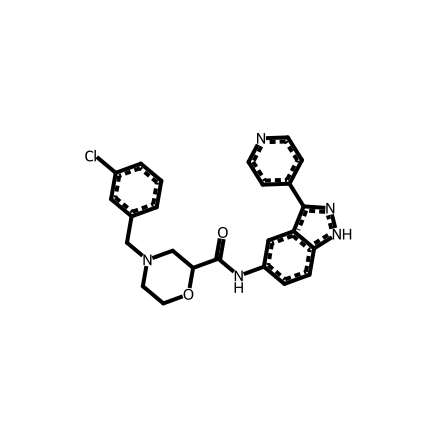 O=C(Nc1ccc2[nH]nc(-c3ccncc3)c2c1)C1CN(Cc2cccc(Cl)c2)CCO1